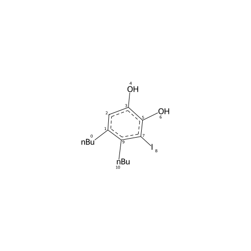 CCCCc1cc(O)c(O)c(I)c1CCCC